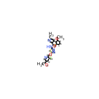 COc1cccc(F)c1-c1cc(C)ncc1C(=O)Nc1nnc(OCc2ncc(C(C)=O)cc2F)s1